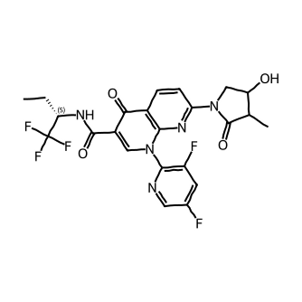 CC[C@H](NC(=O)c1cn(-c2ncc(F)cc2F)c2nc(N3CC(O)C(C)C3=O)ccc2c1=O)C(F)(F)F